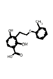 Cc1ccccc1OCCc1c(O)ccc(C(=O)O)c1O